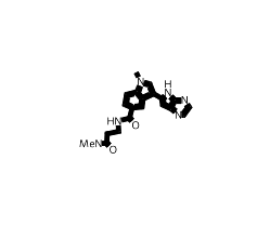 CNC(=O)CCNC(=O)c1ccc2c(c1)c(-c1cc3nccnc3[nH]1)cn2C